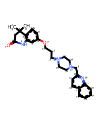 CC1(C)CC(=O)Nc2cc(OCCCN3CCN(Cc4ccc5ccccc5n4)CC3)ccc21